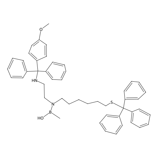 COc1ccc(C(NCCN(CCCCCCSC(c2ccccc2)(c2ccccc2)c2ccccc2)B(C)O)(c2ccccc2)c2ccccc2)cc1